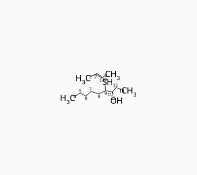 CC=CC.CCCCCC(S)C(O)CC